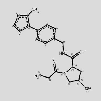 Cc1ncsc1-c1ccc(CNC(=O)[C@H]2C[C@H](O)CN2C(=O)CN)cc1